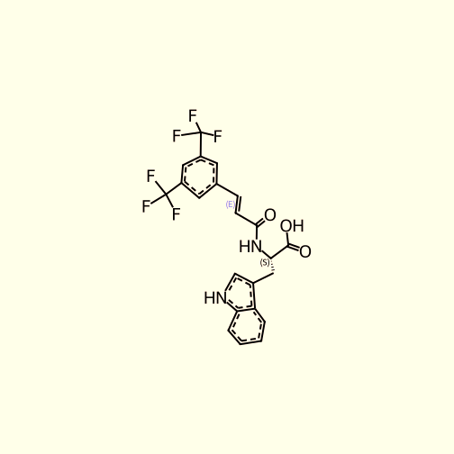 O=C(/C=C/c1cc(C(F)(F)F)cc(C(F)(F)F)c1)N[C@@H](Cc1c[nH]c2ccccc12)C(=O)O